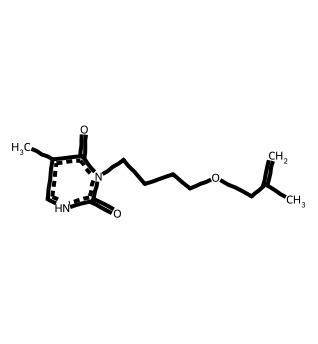 C=C(C)COCCCCn1c(=O)[nH]cc(C)c1=O